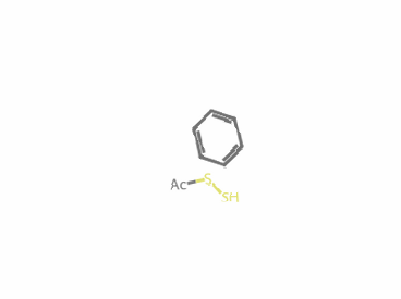 CC(=O)SS.c1ccccc1